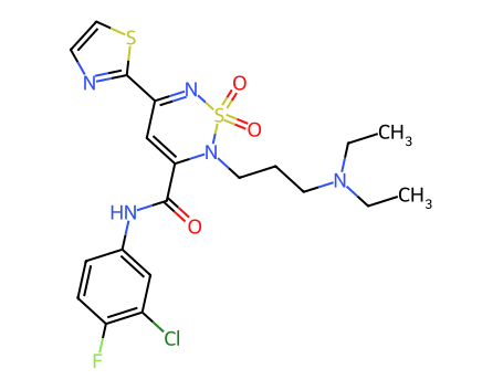 CCN(CC)CCCN1C(C(=O)Nc2ccc(F)c(Cl)c2)=CC(c2nccs2)=NS1(=O)=O